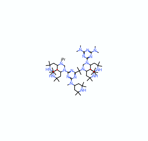 CC(C)N(CN(c1nc(N(C)C2CC(C)(C)NC(C)(C)C2)nc(C(C)(C)N(CN(c2nc(N(C)C)nc(N(C)C)n2)C2CC(C)(C)NC(C)(C)C2)C2CC(C)(C)NC(C)(C)C2)n1)C1CC(C)(C)NC(C)(C)C1)C1CC(C)(C)NC(C)(C)C1